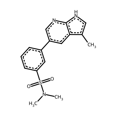 Cc1c[nH]c2ncc(-c3cccc(S(=O)(=O)N(C)C)c3)cc12